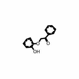 O=C(COc1ccccc1O)c1ccccc1